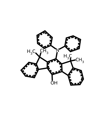 CC1(C)c2ccccc2-c2c(O)c3c(c(N(c4ccccc4)c4ccccc4)c21)C(C)(C)c1ccccc1-3